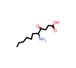 CCCCCCC(N)C(=O)CCC(=O)O